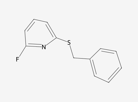 Fc1cccc(SCc2ccccc2)n1